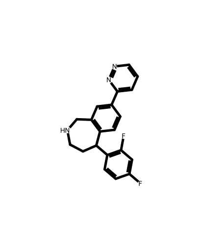 Fc1ccc(C2CCNCc3cc(-c4cccnn4)ccc32)c(F)c1